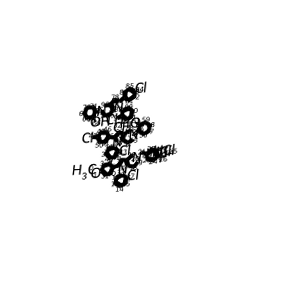 COc1ccc(-c2cc3c(n2-c2ccccc2Cl)CCN(Cc2ccc(F)cc2)C3)cc1.Cc1c2c(n(-c3ccccc3Cl)c1-c1ccc(Cl)cc1)CCN([C@H]1CCCC[C@@H]1O)C2.Cl.Cl.Cl.O[C@H]1CCCC[C@@H]1N1CCc2c(cc(-c3ccc(Cl)cc3)n2-c2ccccc2Cl)C1